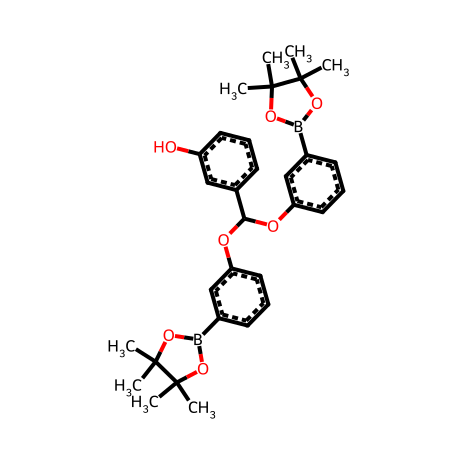 CC1(C)OB(c2cccc(OC(Oc3cccc(B4OC(C)(C)C(C)(C)O4)c3)c3cccc(O)c3)c2)OC1(C)C